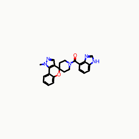 Cn1ncc2c1-c1ccccc1OC21CCN(C(=O)c2cccc3[nH]cnc23)CC1